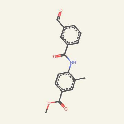 COC(=O)c1ccc(NC(=O)c2cccc(C=O)c2)c(C)c1